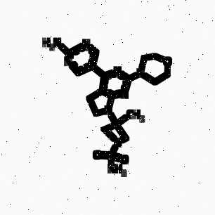 CC1(N2CCc3c(-c4cnc(N)nc4)nc(N4CCOCC4)nc32)CN(S(N)(=O)=O)C1